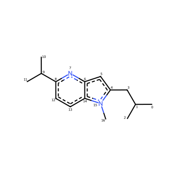 CC(C)Cc1cc2nc(C(C)C)ccc2n1C